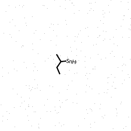 CC[CH](C)[SnH]